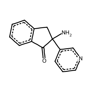 NC1(c2cccnc2)Cc2ccccc2C1=O